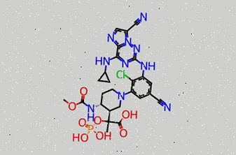 COC(=O)N[C@@H]1CCN(c2cc(C#N)cc(Nc3nc(NC4CC4)c4ncc(C#N)n4n3)c2Cl)C[C@H]1C(C)(OP(=O)(O)O)C(=O)O